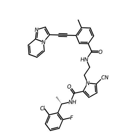 Cc1ccc(C(=O)NCCn2c(C#N)ccc2C(=O)N[C@@H](C)c2c(F)cccc2Cl)cc1C#Cc1cnc2ccccn12